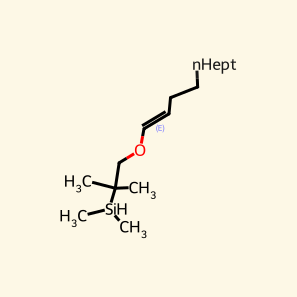 CCCCCCCCC/C=C/OCC(C)(C)[SiH](C)C